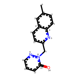 Cc1ccc2nc(Cn3ncccc3=O)ccc2c1